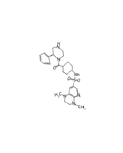 CN1CCN(C)c2ncc(S(=O)(=O)NC3CCC(C(=O)N4CCNCC4c4ccccc4)CC3)cc21